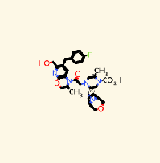 CC1COc2nc(CO)c(Cc3ccc(F)cc3)cc2N1C(=O)CN1C[C@@H](C)N(C(=O)O)C[C@@H]1CN1C2CCC1COC2